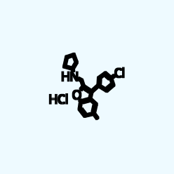 Cc1ccc2oc(CNC3CCCC3)c(-c3ccc(Cl)cc3)c2c1.Cl